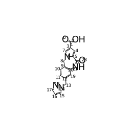 O=C(O)c1cc2n(c1)Cc1ccc(Cn3cccn3)cc1NC2=O